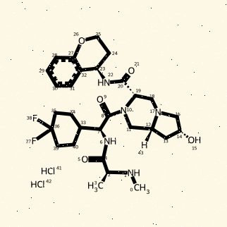 CN[C@@H](C)C(=O)N[C@H](C(=O)N1C[C@H]2C[C@@H](O)CN2C[C@H]1C(=O)N[C@@H]1CCOc2ccccc21)C1CCC(F)(F)CC1.Cl.Cl